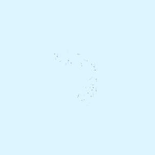 COc1ccccc1Nc1nc2ccc(CC(=O)N(C)c3ccc(C4CN(C(=O)c5ccncc5)CC4C(=O)O)cc3)cc2o1